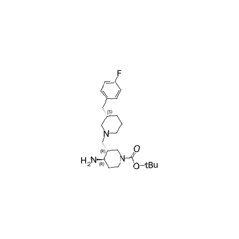 CC(C)(C)OC(=O)N1CC[C@@H](N)[C@H](CN2CCC[C@@H](Cc3ccc(F)cc3)C2)C1